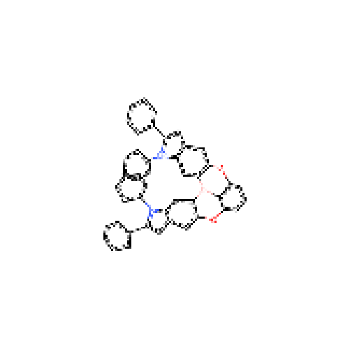 c1ccc(-c2cc3cc4c(cc3n2-c2ccccc2)B2c3cc5c(cc3Oc3cccc(c32)O4)cc(-c2ccccc2)n5-c2ccccc2)cc1